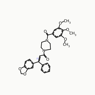 COc1cc(C(=O)N2CCN(C(=O)/C=C(\c3ccccc3)c3ccc4c(c3)OCO4)CC2)cc(OC)c1OC